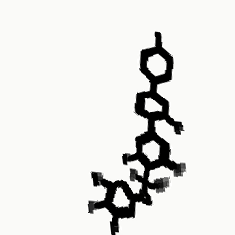 CC1CCC(c2ccc(-c3cc(F)c(C(F)(F)Oc4cc(F)c(F)c(F)c4)c(F)c3)c(F)c2)CC1